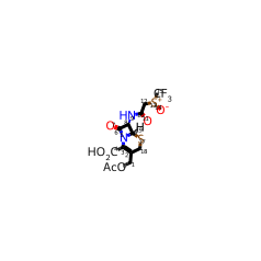 CC(=O)OCC1=C(C(=O)O)N2C(=O)[C@@H](NC(=O)C[S+]([O-])C(F)(F)F)[C@H]2SC1